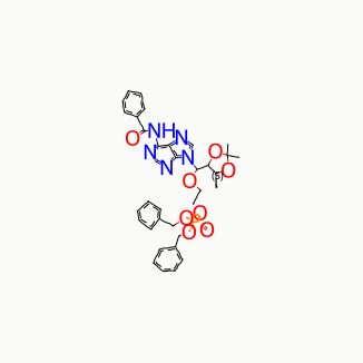 C[C@@H]1OC(C)(C)OC1C(OCCOP(=O)(OCc1ccccc1)OCc1ccccc1)n1cnc2c(NC(=O)c3ccccc3)ncnc21